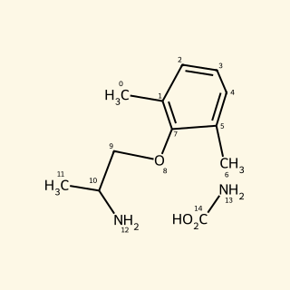 Cc1cccc(C)c1OCC(C)N.NC(=O)O